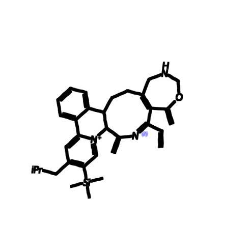 C=C/C1=N/C(=C)C2C(CCC3=C1C(=C)OCNC3)c1ccccc1-c1cc(CC(C)C)c([Si](C)(C)C)c[n+]12